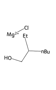 CCCCC(CC)CO.[Mg+2][Cl]